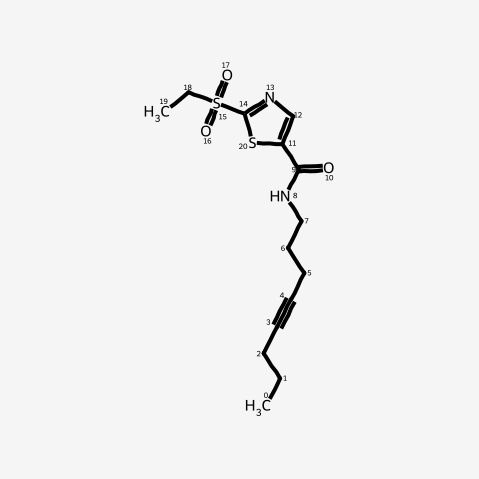 CCCC#CCCCNC(=O)c1cnc(S(=O)(=O)CC)s1